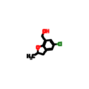 CC1Cc2cc(Cl)cc(CO)c2O1